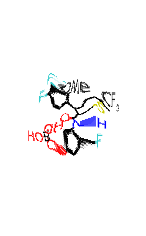 COc1c(C2CC(C)(C(F)(F)F)SC2C(=O)Nc2cc(OB(O)O)ccc2F)ccc(F)c1F